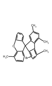 Cc1cc(C)c2c(c1)C1(c3ccccc3Oc3c(C)cccc31)c1c(Br)ccc(C)c1-2